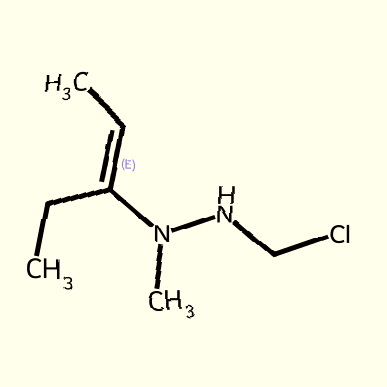 C/C=C(\CC)N(C)NCCl